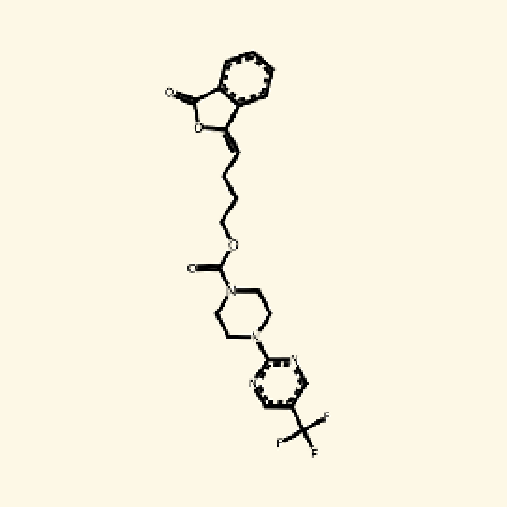 O=C1OC(=CCCCOC(=O)N2CCN(c3ncc(C(F)(F)F)cn3)CC2)c2ccccc21